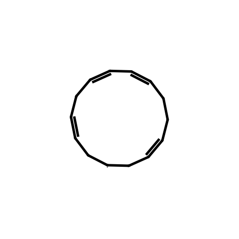 [CH]1CC=CCC=CC=CCCC=CC1